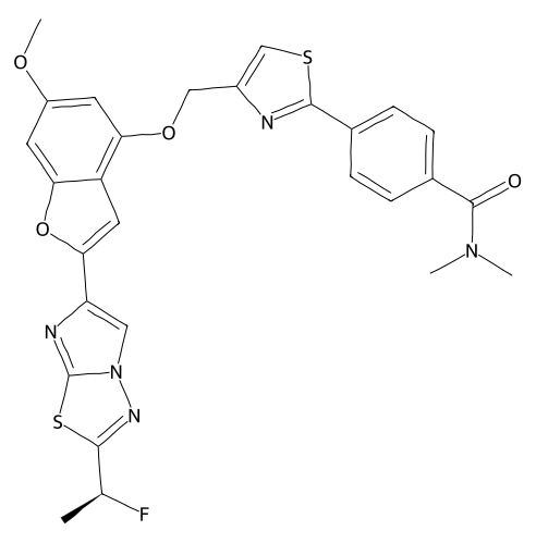 COc1cc(OCc2csc(-c3ccc(C(=O)N(C)C)cc3)n2)c2cc(-c3cn4nc([C@H](C)F)sc4n3)oc2c1